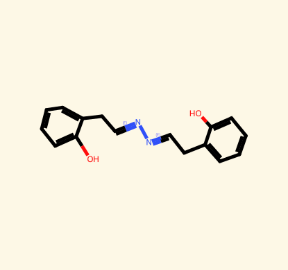 Oc1ccccc1C/C=N/N=C/Cc1ccccc1O